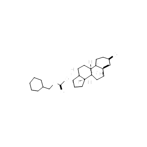 C[C@]12CC[C@H]3[C@@H](CCC4=CC(=O)CC[C@@]43C)[C@@H]1CC[C@@H]2OC(=O)OCC1CCCCC1